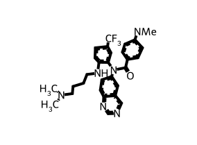 CNc1ccc(C(=O)N(c2ccc3ncncc3c2)c2cc(C(F)(F)F)ccc2NCCCCN(C)C)cc1